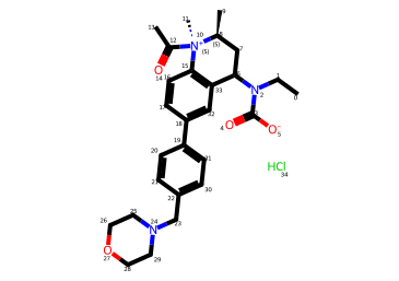 CCN(C(=O)[O-])C1C[C@H](C)[N@+](C)(C(C)=O)c2ccc(-c3ccc(CN4CCOCC4)cc3)cc21.Cl